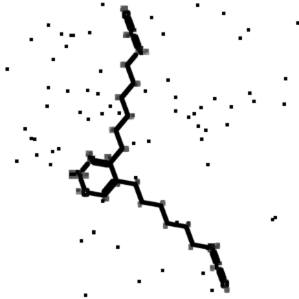 O=C=NCCCCCCC1=CONN=C1CCCCCCN=C=O